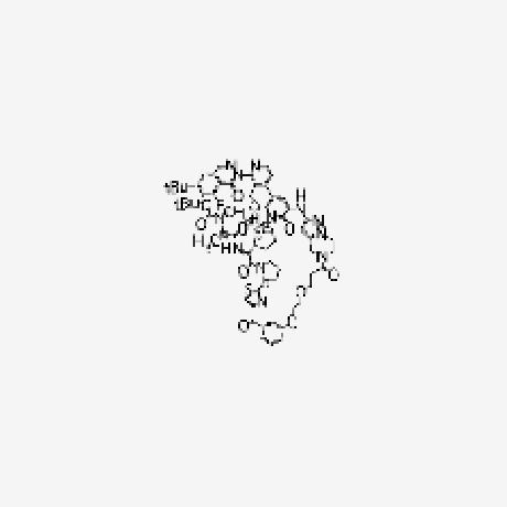 C[C@@H](C(=O)N[C@H](C(=O)N1CCC[C@H]1c1nc(C(=O)c2cccc(OCCOCCC(=O)N3CCn4nc(Nc5cc(-c6ccnc(-n7ncc8cc(C(C)(C)C)cc(F)c8c7=O)c6CO)cn(C)c5=O)cc4C3)c2)cs1)C1CCCCC1)N(C)C(=O)OC(C)(C)C